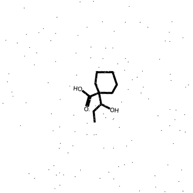 CCC(O)C1(C(=O)O)CC[CH]CC1